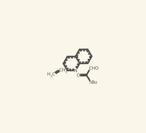 C=C.CCCCC(=O)C=O.c1ccc2ncccc2c1